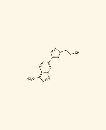 O=C(O)c1nnn2cc(-c3cnn(CCO)c3)ccc12